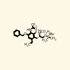 C=Cc1cc(OCc2ccccc2)c(NC(=O)C(F)(F)F)c(F)c1C[C@@H](CO[Si](C)(C)C(C)(C)C)NC(=O)O